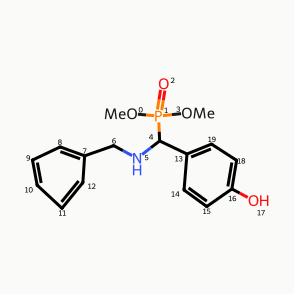 COP(=O)(OC)C(NCc1ccccc1)c1ccc(O)cc1